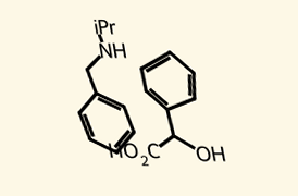 CC(C)NCc1ccccc1.O=C(O)C(O)c1ccccc1